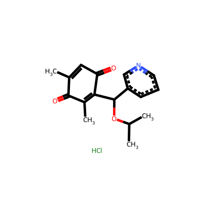 CC1=CC(=O)C(C(OC(C)C)c2cccnc2)=C(C)C1=O.Cl